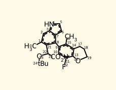 Cc1cc2[nH]ccc2c(-c2cc(F)c3c(c2C)CCCO3)c1C(OC(C)(C)C)C(=O)O